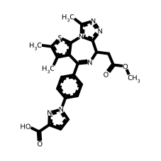 COC(=O)CC1N=C(c2ccc(-n3ccc(C(=O)O)n3)cc2)c2c(sc(C)c2C)-n2c(C)nnc21